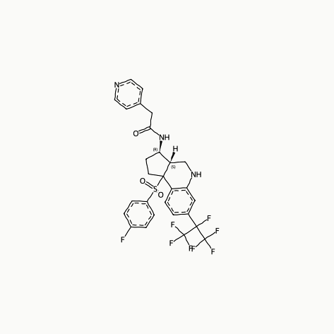 O=C(Cc1ccncc1)N[C@@H]1CCC2(S(=O)(=O)c3ccc(F)cc3)c3ccc(C(F)(C(F)(F)F)C(F)(F)F)cc3NC[C@@H]12